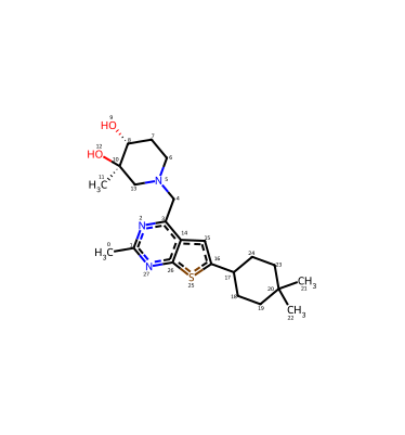 Cc1nc(CN2CC[C@@H](O)[C@](C)(O)C2)c2cc(C3CCC(C)(C)CC3)sc2n1